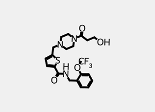 O=C(NCc1ccccc1OC(F)(F)F)c1ccc(CN2CCN(C(=O)CCO)CC2)s1